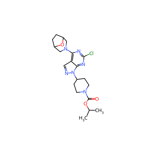 CC(C)OC(=O)N1CCC(n2ncc3c(N4CC5CCC(C4)O5)nc(Cl)nc32)CC1